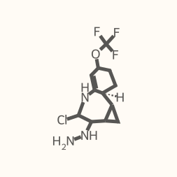 NNC1C(Cl)NC2=CC(OC(F)(F)F)CC[C@H]2C2CC12